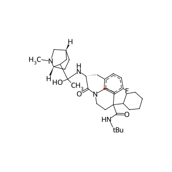 CN1C[C@@H]2CC[C@H]1C(C(C)(O)N[C@H](Cc1ccc(F)cc1)C(=O)N1CCC(C(=O)NC(C)(C)C)(C3CCCCC3)CC1)C2